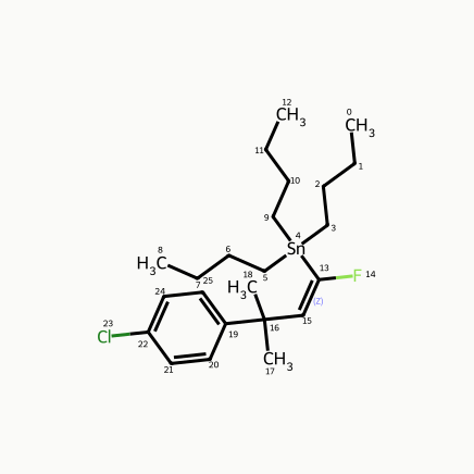 CCC[CH2][Sn]([CH2]CCC)([CH2]CCC)/[C](F)=C\C(C)(C)c1ccc(Cl)cc1